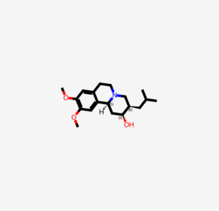 COc1cc2c(cc1OC)[C@@H]1C[C@H](O)[C@H](CC(C)C)CN1CC2